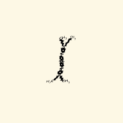 CCCCCCN(CCCCCC)c1ccc(N=Nc2ccc(S(=O)(=O)c3ccc(N=Nc4ccc(N(CCCCC)CCCCC)cc4)cc3)cc2)cc1